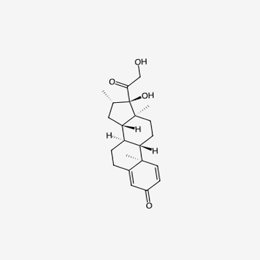 C[C@H]1C[C@H]2[C@@H]3CCC4=CC(=O)C=C[C@]4(C)[C@H]3CC[C@]2(C)[C@@]1(O)C(=O)CO